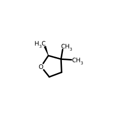 C[C@@H]1OCCC1(C)C